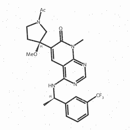 CO[C@@]1(c2cc3c(N[C@H](C)c4cccc(C(F)(F)F)c4)ncnc3n(C)c2=O)CCN(C(C)=O)C1